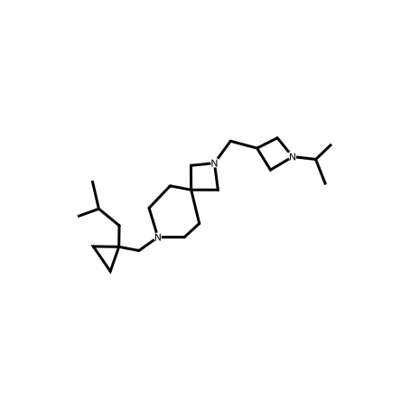 CC(C)CC1(CN2CCC3(CC2)CN(CC2CN(C(C)C)C2)C3)CC1